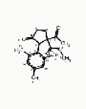 COC(=O)C1(C(C)=O)CCC(=O)C1c1c(C)cc(C)cc1C